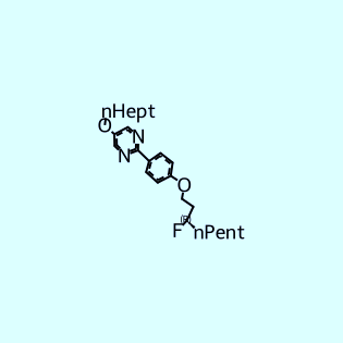 CCCCCCCOc1cnc(-c2ccc(OCC[C@H](F)CCCCC)cc2)nc1